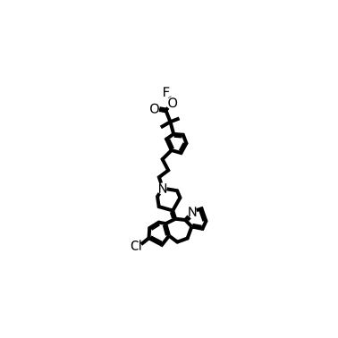 CC(C)(C(=O)OF)c1cccc(CCCN2CCC(=C3c4ccc(Cl)cc4CCc4cccnc43)CC2)c1